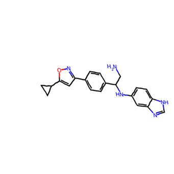 NCC(Nc1ccc2[nH]cnc2c1)c1ccc(-c2cc(C3CC3)on2)cc1